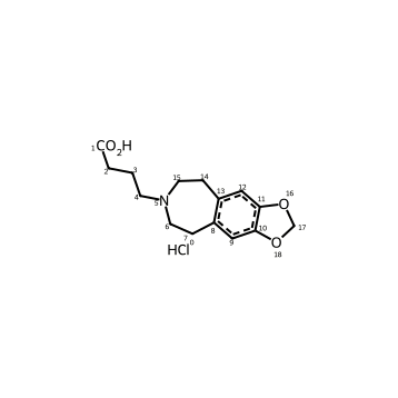 Cl.O=C(O)CCCN1CCc2cc3c(cc2CC1)OCO3